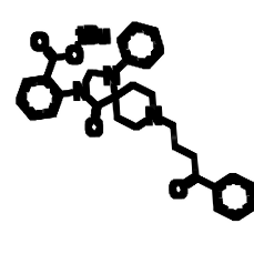 CC(C)(C)OC(=O)c1ccccc1N1CN(c2ccccc2)C2(CCN(CCCC(=O)c3ccccc3)CC2)C1=O